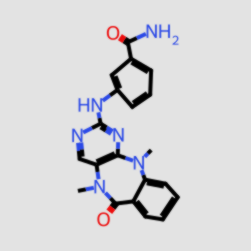 CN1C(=O)c2ccccc2N(C)c2nc(Nc3cccc(C(N)=O)c3)ncc21